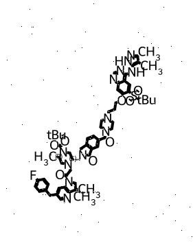 Cc1n[nH]c(Nc2ncnc3cc(OCCCN4CCN(C(=O)c5ccc6c(c5)C(=O)N(C[C@H]5CN(C(=O)OC(C)(C)C)[C@H](C)CN5CC(=O)N5CC(C)(C)c7ncc(Cc8ccc(F)cc8)cc75)C6)CC4)c(S(=O)(=O)C(C)(C)C)cc23)c1C